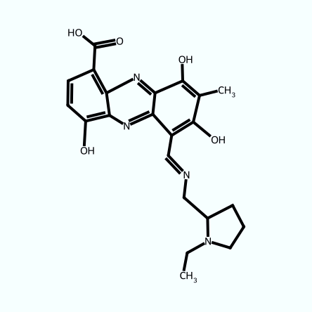 CCN1CCCC1CN=Cc1c(O)c(C)c(O)c2nc3c(C(=O)O)ccc(O)c3nc12